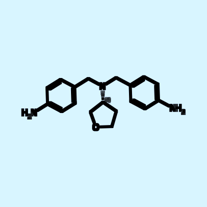 Nc1ccc(CN(Cc2ccc(N)cc2)[C@@H]2CCOC2)cc1